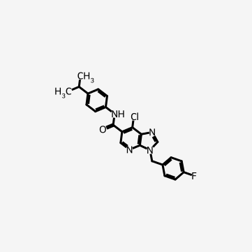 CC(C)c1ccc(NC(=O)c2cnc3c(ncn3Cc3ccc(F)cc3)c2Cl)cc1